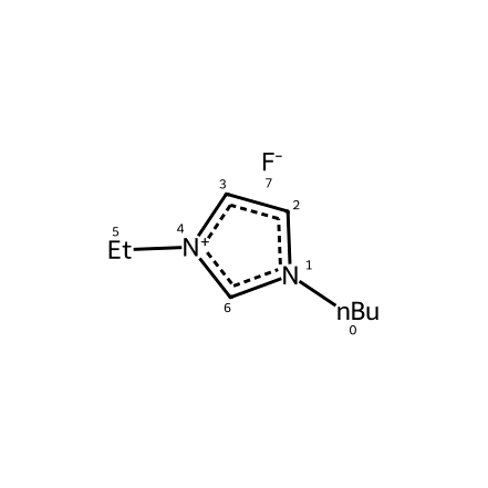 CCCCn1cc[n+](CC)c1.[F-]